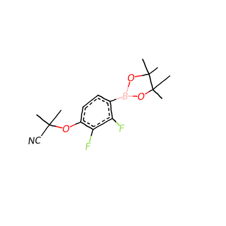 CC(C)(C#N)Oc1ccc(B2OC(C)(C)C(C)(C)O2)c(F)c1F